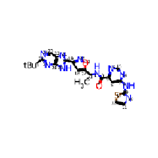 C[C@@H](NC(=O)c1cc(Nc2nccs2)ncn1)c1cc(-c2nc3cnc(C(C)(C)C)nc3[nH]2)no1